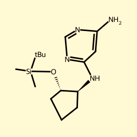 CC(C)(C)[Si](C)(C)O[C@H]1CCC[C@@H]1Nc1cc(N)ncn1